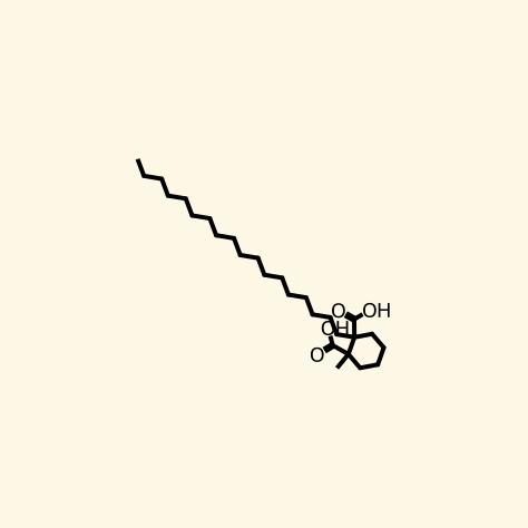 CCCCCCCCCCCCCCCCCCC1(C(=O)O)CCCCC1(C)C(=O)O